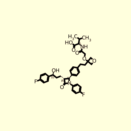 CC(C)[C@@H](NC(=O)COC1(CCc2ccc([C@@H]3[C@@H](CC[C@H](O)c4ccc(F)cc4)C(=O)N3c3ccc(F)cc3)cc2)COC1)C(=O)O